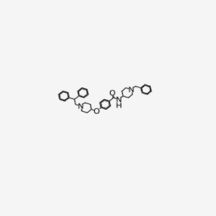 O=C(NC1CCN(Cc2ccccc2)CC1)c1ccc(OC2CCN(CC(c3ccccc3)c3ccccc3)CC2)cc1